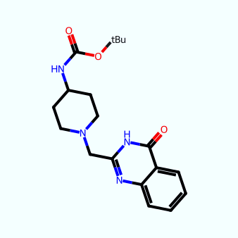 CC(C)(C)OC(=O)NC1CCN(Cc2nc3ccccc3c(=O)[nH]2)CC1